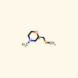 CSC[C@H]1CN(C)CCO1